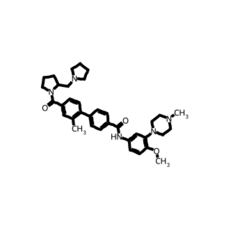 COc1ccc(NC(=O)c2ccc(-c3ccc(C(=O)N4CCCC4CN4CCCC4)cc3C)cc2)cc1N1CCN(C)CC1